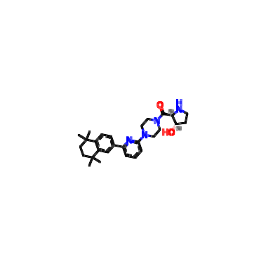 CC1(C)CCC(C)(C)c2cc(-c3cccc(N4CCN(C(=O)[C@H]5NCC[C@@H]5O)CC4)n3)ccc21